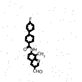 Cc1c(NC(=O)c2ccc(-c3ccc(F)cc3)cc2)ccc2cc(C=O)cnc12